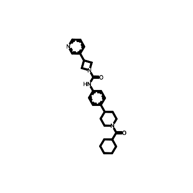 O=C(Nc1ccc(C2CCN(C(=O)C3CCCCC3)CC2)cc1)N1CC(c2cccnc2)C1